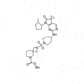 CC1CCCC1N1C(=O)C2(CC2)c2cnc(NC3CCN(S(=O)(=O)N4CC5(CCCN(C(=O)OC(C)(C)C)C5)C4)CC3)nc21